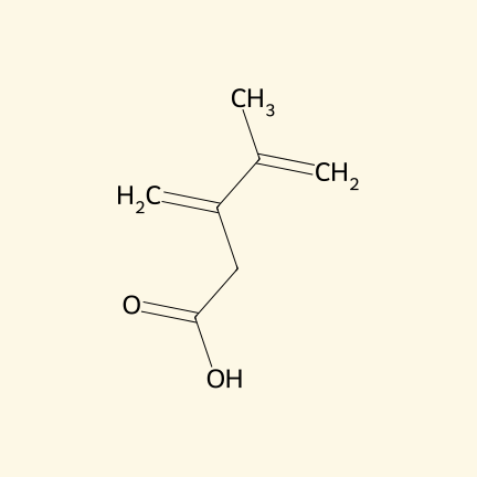 C=C(C)C(=C)CC(=O)O